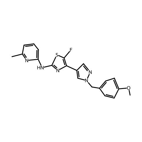 COc1ccc(Cn2cc(-c3nc(Nc4cccc(C)n4)sc3F)cn2)cc1